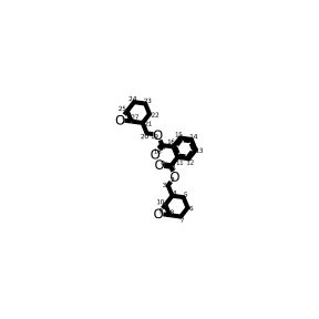 O=C(OCC1CCCC2OC12)c1ccccc1C(=O)OCC1CCCC2OC12